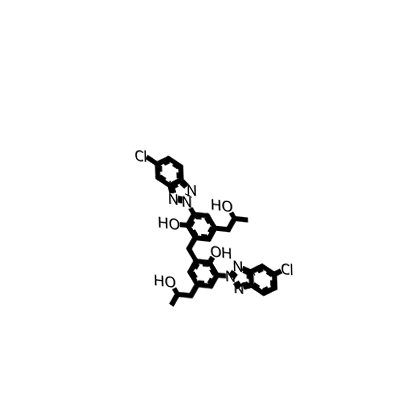 CC(O)Cc1cc(Cc2cc(CC(C)O)cc(-n3nc4ccc(Cl)cc4n3)c2O)c(O)c(-n2nc3ccc(Cl)cc3n2)c1